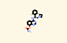 NC(=O)Oc1cccc2c(N[C@H](CN3CCC3)c3c(F)cccc3F)ncnc12